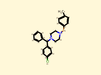 Cc1ccc(SN2CCN(C(c3ccccc3)c3ccc(Cl)cc3)CC2)cc1